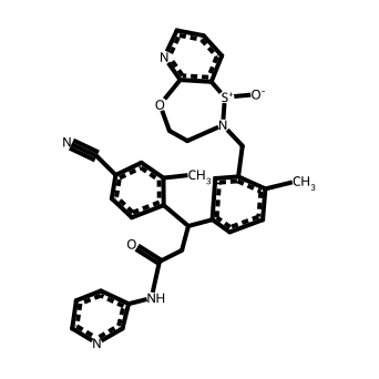 Cc1ccc(C(CC(=O)Nc2cccnc2)c2ccc(C#N)cc2C)cc1CN1CCOc2ncccc2[S+]1[O-]